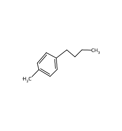 [CH2]c1ccc(CCCC)cc1